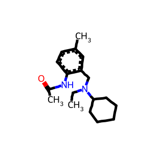 CCN(Cc1cc(C)ccc1NC(C)=O)C1CCCCC1